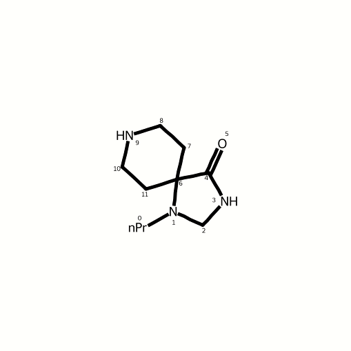 CCCN1CNC(=O)C12CCNCC2